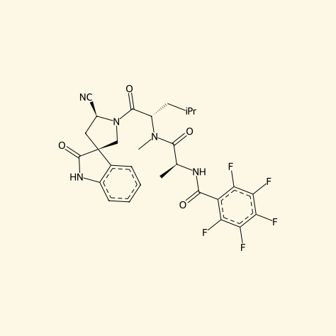 CC(C)C[C@@H](C(=O)N1C[C@]2(C[C@H]1C#N)C(=O)Nc1ccccc12)N(C)C(=O)[C@H](C)NC(=O)c1c(F)c(F)c(F)c(F)c1F